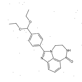 CCOC(OCC)c1ccc(-c2nc3cccc4c3n2CCNC4=O)cc1